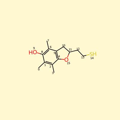 Cc1c(C)c2c(c(C)c1O)CC(CCS)O2